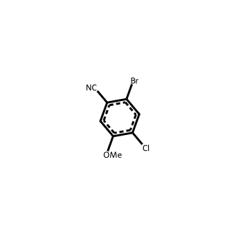 COc1cc(C#N)c(Br)cc1Cl